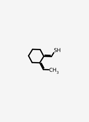 C/C=C1/CCCC/C1=C\S